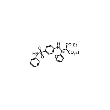 CCOC(=O)C(C(=O)OCC)[C@H](Nc1ccc(S(=O)(=O)Nc2ccccn2)cc1)c1ccco1